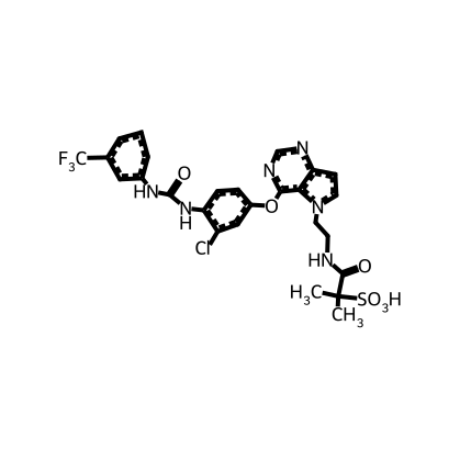 CC(C)(C(=O)NCCn1ccc2ncnc(Oc3ccc(NC(=O)Nc4cccc(C(F)(F)F)c4)c(Cl)c3)c21)S(=O)(=O)O